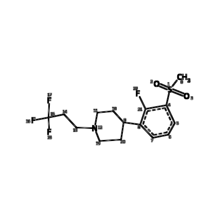 CS(=O)(=O)c1cccc(C2CCN(CCC(F)(F)F)CC2)c1F